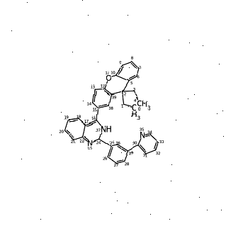 CCC1(CC)c2ccccc2Oc2ccc(C3=c4ccccc4=NC(c4cccc(-c5ccccn5)c4)N3)cc21